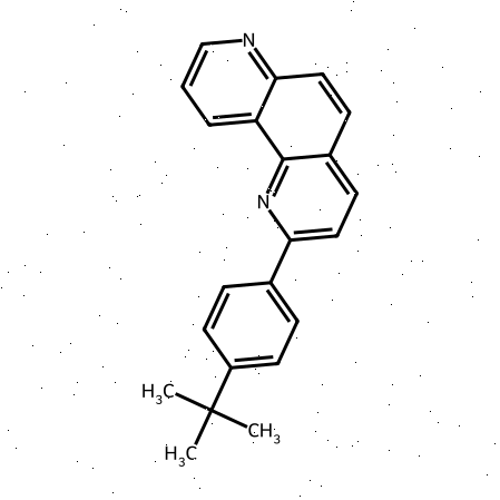 CC(C)(C)c1ccc(-c2ccc3ccc4ncccc4c3n2)cc1